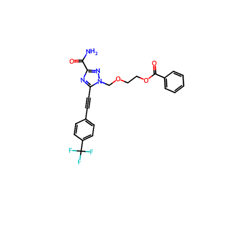 NC(=O)c1nc(C#Cc2ccc(C(F)(F)F)cc2)n(COCCOC(=O)c2ccccc2)n1